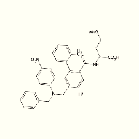 CSCCC(NC(=O)c1ccc(CN(Cc2ccccc2)c2ccc([N+](=O)[O-])cc2)cc1-c1ccccc1C)C(=O)O.[Li+]